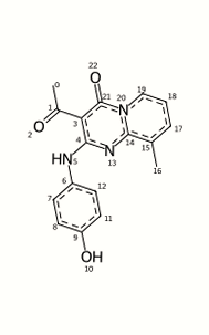 CC(=O)c1c(Nc2ccc(O)cc2)nc2c(C)cccn2c1=O